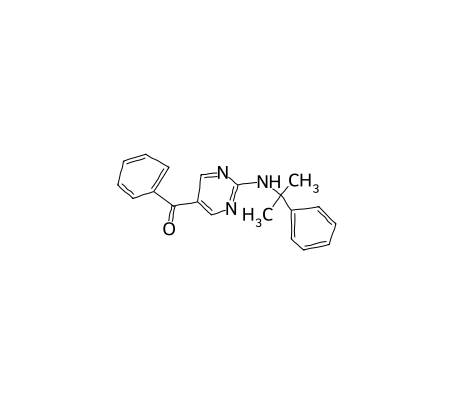 CC(C)(Nc1ncc(C(=O)c2ccccc2)cn1)c1ccccc1